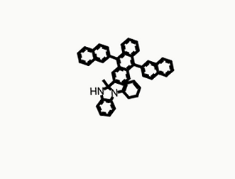 CC1(c2ccc3c(-c4ccc5ccccc5c4)c4ccccc4c(-c4ccc5ccccc5c4)c3c2)Nc2ccccc2N1C1=CC=CCC1